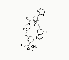 Cn1nc(-c2ncccn2)cc1C(=O)N1CC2[C@H](C1)[C@H]2Oc1cc(C(C)(C)N)cc(-n2ccc3c(F)cccc32)n1